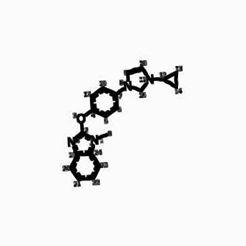 Cn1c(Oc2ccc(N3C=CN(C4CC4)C3)cc2)nc2ccccc21